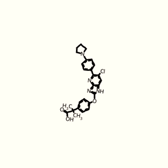 CC(C)(C(=O)O)c1ccc(Oc2nc3nc(-c4ccc(N5CCCC5)cc4)c(Cl)cc3[nH]2)cc1